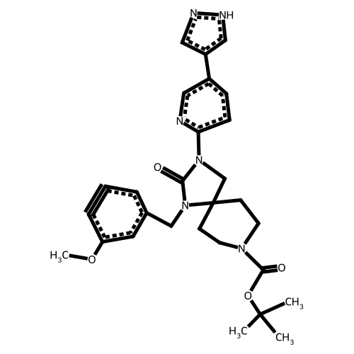 COc1c#ccc(CN2C(=O)N(c3ccc(-c4cn[nH]c4)cn3)CC23CCN(C(=O)OC(C)(C)C)CC3)c1